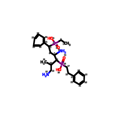 CCP(=O)(O)C(CC(N)C(C(C)CN)P(=O)(O)CCc1ccccc1)c1ccccc1